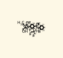 CCn1c(CO)nn(-c2cc(O[C@@H](CF)C(F)F)c(C(=O)Nc3c(F)cccc3F)cc2F)c1=O